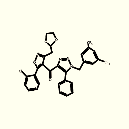 O=C(c1nnn(Cc2cc(C(F)(F)F)cc(C(F)(F)F)c2)c1-c1ccccc1)c1c(CC2OCCO2)noc1-c1ccccc1Cl